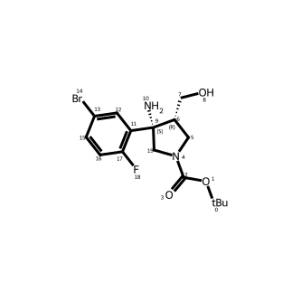 CC(C)(C)OC(=O)N1C[C@@H](CO)[C@](N)(c2cc(Br)ccc2F)C1